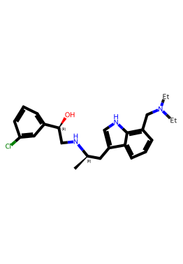 CCN(CC)Cc1cccc2c(C[C@@H](C)NC[C@H](O)c3cccc(Cl)c3)c[nH]c12